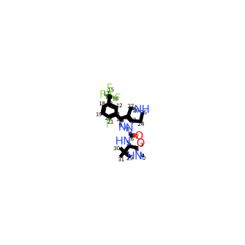 CNC(=O)C(NC(=O)n1nc(-c2cc(C(F)(F)F)ccc2F)c2c1CCNC2)C(C)(C)C